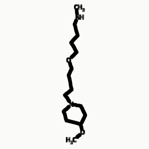 CNCCCCOCCCCN1CCC(OC)CC1